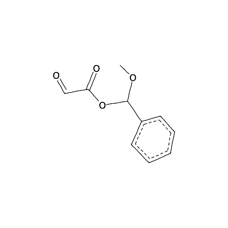 COC(OC(=O)C=O)c1ccccc1